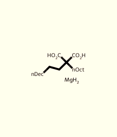 CCCCCCCCCCCCC(CCCCCCCC)(C(=O)O)C(=O)O.[MgH2]